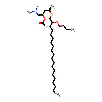 C=C(CC(CN(C)C)OC(C)=O)OCC(CCCCCCCCCCCCCCCCCC)OCCCC